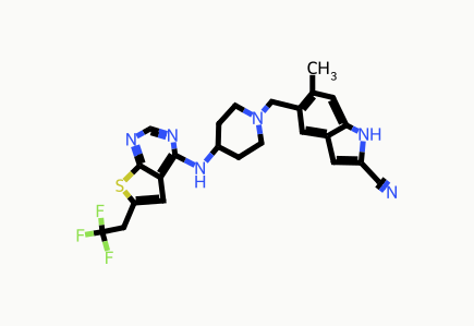 Cc1cc2[nH]c(C#N)cc2cc1CN1CCC(Nc2ncnc3sc(CC(F)(F)F)cc23)CC1